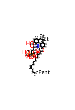 CCCCC/C=C\C/C=C\CCCCCCCC(=O)Oc1ccc(C(CC)C(CC)c2ccc(O)c(NC(=O)CCC(P(=O)(O)O)P(=O)(O)O)c2)cc1